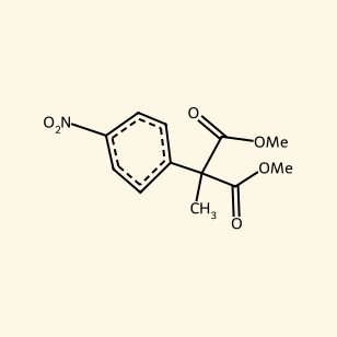 COC(=O)C(C)(C(=O)OC)c1ccc([N+](=O)[O-])cc1